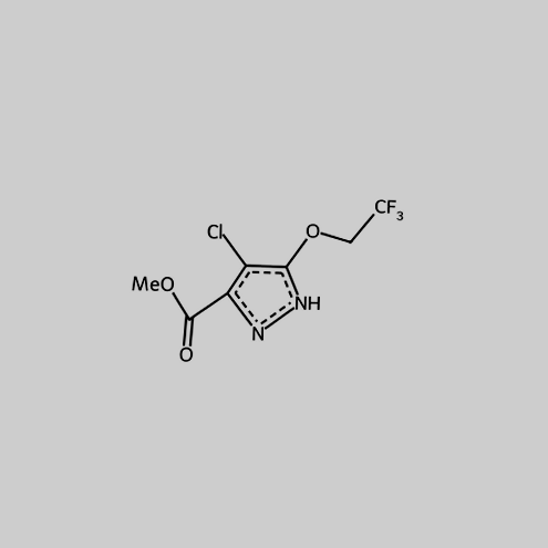 COC(=O)c1n[nH]c(OCC(F)(F)F)c1Cl